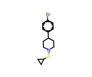 Brc1ccc(C2CCN(SC3CC3)CC2)cc1